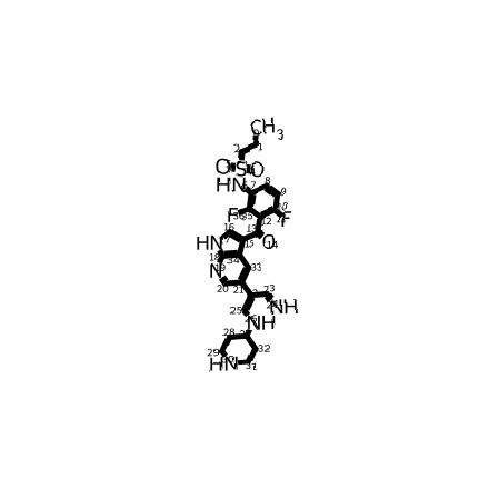 CCCS(=O)(=O)Nc1ccc(F)c(C(=O)c2c[nH]c3ncc(/C(C=N)=C/NC4CCNCC4)cc23)c1F